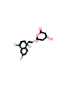 O=C1C[C@@H](O)C[C@H](CCC2(Cl)CC=C(Cl)c3cc(Cl)ccc32)O1